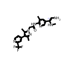 CN/C(=C\N)c1cnc(NC(=O)Cn2nc(C)c(-c3ccnc(C(F)(F)F)c3)c2C)c(C)c1